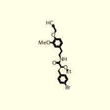 C#CCOc1ccc(CCNC(=O)[C@H](Cc2ccc(Br)cc2)OCC)cc1OC